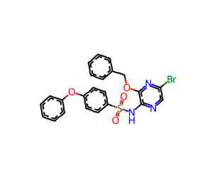 O=S(=O)(Nc1ncc(Br)nc1OCc1ccccc1)c1ccc(Oc2ccccc2)cc1